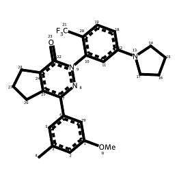 COc1cc(C)cc(-c2nn(-c3cc(N4CCCC4)ccc3C(F)(F)F)c(=O)c3c2CCC3)c1